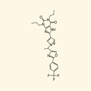 CCCn1c(=O)c2[nH]c(-c3cnn(C(C)c4coc(-c5ccc(C(F)(F)F)cc5)n4)c3)nc2n(CCC)c1=O